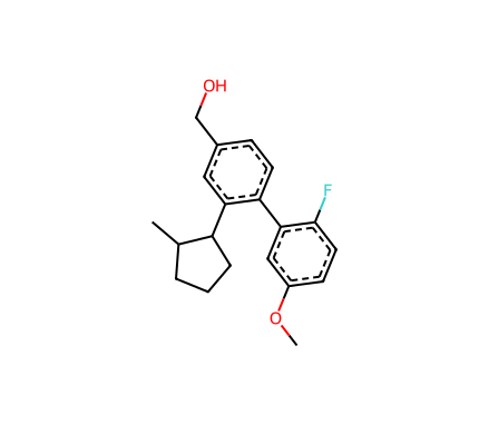 COc1ccc(F)c(-c2ccc(CO)cc2C2CCCC2C)c1